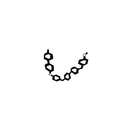 COc1ccc(Cc2ccc(-c3ccc(Cc4ccc(Oc5ccc(-c6ccc(C)cc6)cc5)cc4)cc3)cc2)cc1